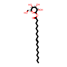 CCCCCCCCC=CCCCCCCCC(=O)OC1O[C@H](CO)[C@@H](O)[C@H](O)[C@H]1O